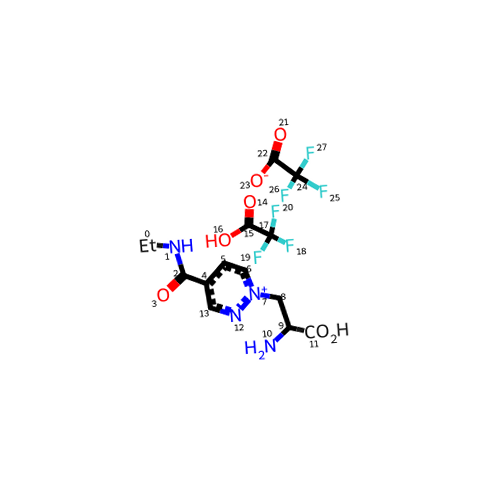 CCNC(=O)c1cc[n+](CC(N)C(=O)O)nc1.O=C(O)C(F)(F)F.O=C([O-])C(F)(F)F